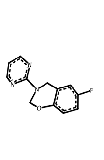 Fc1ccc2c(c1)CN(c1ncccn1)CO2